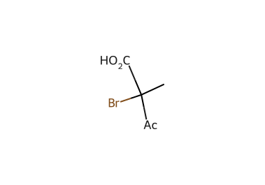 CC(=O)C(C)(Br)C(=O)O